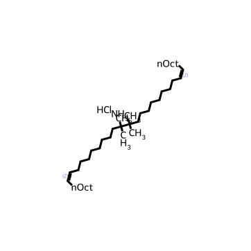 CCCCCCCC/C=C\CCCCCCCCC(C)(C)C(C)(C)CCCCCCCC/C=C\CCCCCCCC.Cl.N